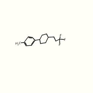 Cc1ccc(C2CCC(CCC(F)(F)F)CC2)cc1